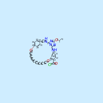 CCOc1nc2nc(n1)Nc1ccc(C(=O)Cl)c(c1)OCCCCCCCCOc1ccc(cc1)CN2